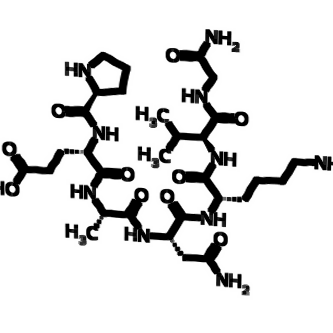 CC(C)[C@H](NC(=O)[C@H](CCCCN)NC(=O)[C@H](CC(N)=O)NC(=O)[C@H](C)NC(=O)[C@H](CCC(=O)O)NC(=O)[C@@H]1CCCN1)C(=O)NCC(N)=O